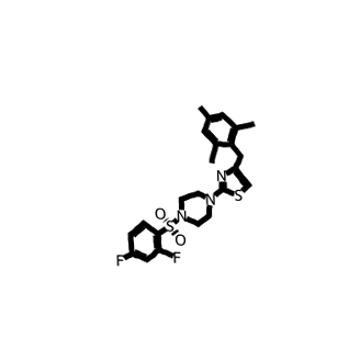 Cc1cc(C)c(Cc2csc(N3CCN(S(=O)(=O)c4ccc(F)cc4F)CC3)n2)c(C)c1